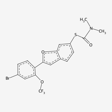 CN(C)C(=O)Sc1ccc2cc(-c3ccc(Br)cc3OC(F)(F)F)oc2c1